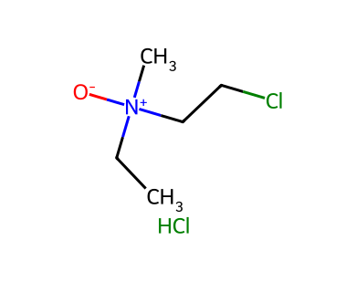 CC[N+](C)([O-])CCCl.Cl